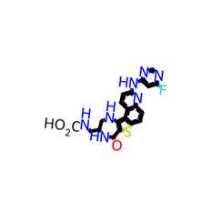 O=C(O)NCC1CNc2c(sc3ccc4nc(Nc5cc(F)ncn5)ccc4c23)C(=O)N1